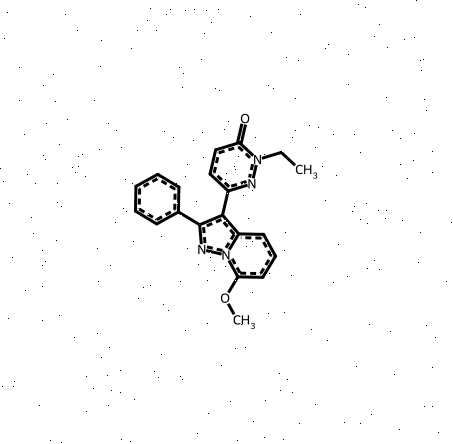 CCn1nc(-c2c(-c3ccccc3)nn3c(OC)cccc23)ccc1=O